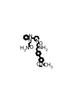 CN1CCOc2cc(-c3ccc(CC(N)CC(=O)N4CCCC(c5nc6ccccc6n5CCC(N)=O)C4)cc3)ccc21